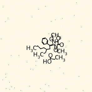 CCC(=O)O.CCCCC(CC)CC(=C1N(OC)C(=O)C(=O)N1OC)c1ccccc1